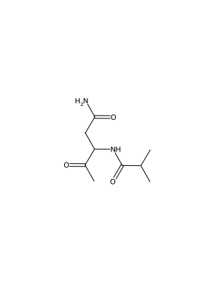 CC(=O)C(CC(N)=O)NC(=O)C(C)C